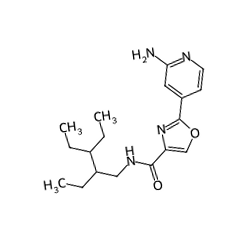 CCC(CC)C(CC)CNC(=O)c1coc(-c2ccnc(N)c2)n1